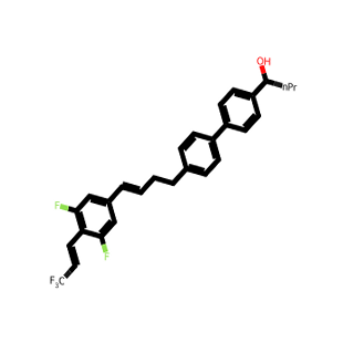 CCCC(O)c1ccc(-c2ccc(CC/C=C/c3cc(F)c(/C=C/C(F)(F)F)c(F)c3)cc2)cc1